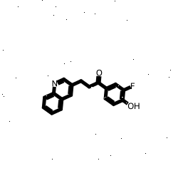 O=C(CCc1cnc2ccccc2c1)c1ccc(O)c(F)c1